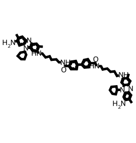 CC1=CC2=Nc3cc(C)c(N)cc3N(C3CCCCC3)C2C=C1NCCCCCCNC(=O)c1ccc(-c2ccc(C(=O)NCCCCCCNc3cc4c(cc3C)nc3cc(C)c(N)cc3[n+]4C3CCCCC3)cc2)cc1